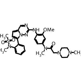 COc1cc(N(C)C(=O)CN2CCN(C)CC2)ccc1Nc1ncc2ccc(-c3ccccc3N(C)S(C)(=O)=O)n2n1